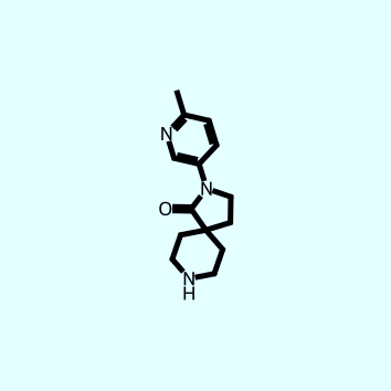 Cc1ccc(N2CCC3(CCNCC3)C2=O)cn1